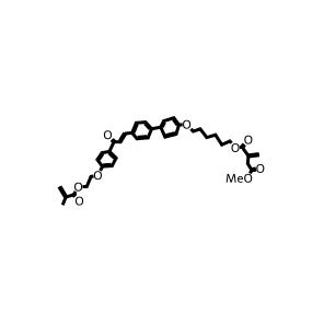 C=C(C)C(=O)OCCOc1ccc(C(=O)/C=C/c2ccc(-c3ccc(OCCCCCCOC(=O)C(=C)CC(=O)OC)cc3)cc2)cc1